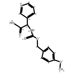 COc1ccc(COC(=O)NC(C(=O)O)c2cccnc2)cc1